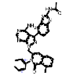 C/C=C\C(=C/C)n1c(Cn2nc(-c3ccc4nc(NC(C)=O)sc4c3)c3c(N)ncnc32)cc2cccc(C)c2c1=O